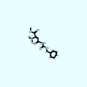 COC(=O)/C(=C/C(=N)NC(=O)OCc1ccccc1)N(C)C